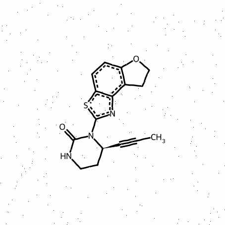 CC#C[C@H]1CCNC(=O)N1c1nc2c3c(ccc2s1)OCC3